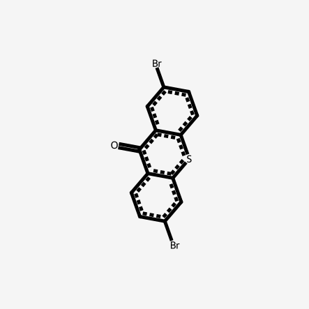 O=c1c2ccc(Br)cc2sc2ccc(Br)cc12